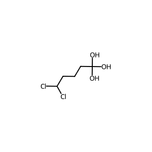 OC(O)(O)CCCC(Cl)Cl